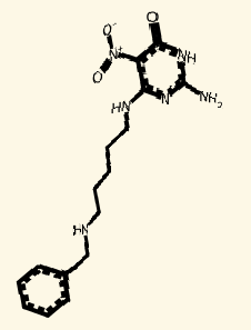 Nc1nc(NCCCCCNCc2ccccc2)c([N+](=O)[O-])c(=O)[nH]1